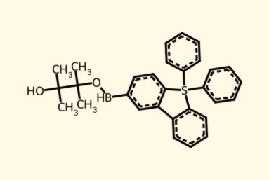 CC(C)(O)C(C)(C)OBc1ccc2c(c1)-c1ccccc1S2(c1ccccc1)c1ccccc1